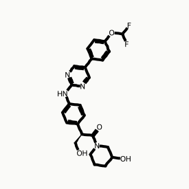 O=C([C@@H](CO)c1ccc(Nc2ncc(-c3ccc(OC(F)F)cc3)cn2)cc1)N1CCCC(O)C1